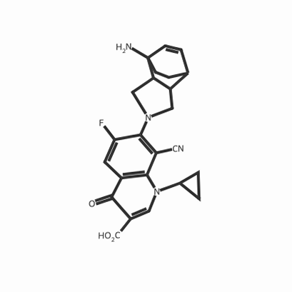 N#Cc1c(N2CC3C4C=CC(N)(CC4)C3C2)c(F)cc2c(=O)c(C(=O)O)cn(C3CC3)c12